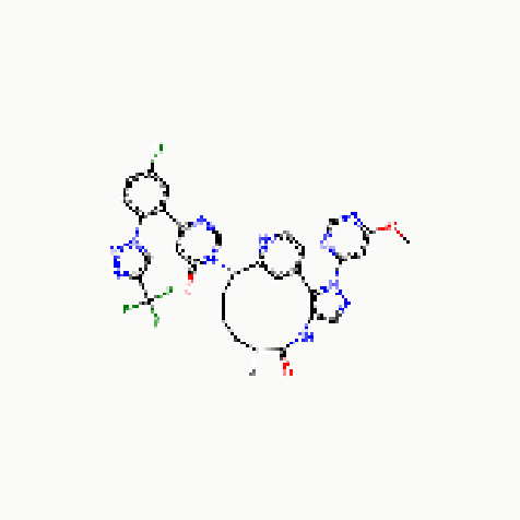 COc1cc(-n2ncc3c2-c2ccnc(c2)[C@@H](n2cnc(-c4cc(Cl)ccc4-n4cc(C(F)(F)F)nn4)cc2=O)CCC[C@@H](C)C(=O)N3)ncn1